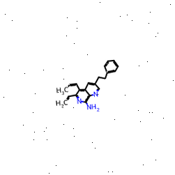 C=Cc1nc(N)c2ncc(CCc3ccccc3)cc2c1/C=C\C